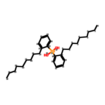 CCCCCCCCCc1ccccc1[PH](O)(O)c1ccccc1CCCCCCCCC